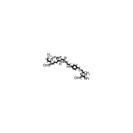 C=C(COCc1ccc(NCCCNC(=O)[C@H](CCCCC)NC(=O)CCCN(C=O)C(=O)/C=C\C)cc1)ON(C=O)C(=O)CCC